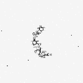 O=C(COc1ccc(CC2CCN(C3C4CC5CC3CC(O)(C5)C4)C2=O)c(Cl)c1)NCc1cccnc1